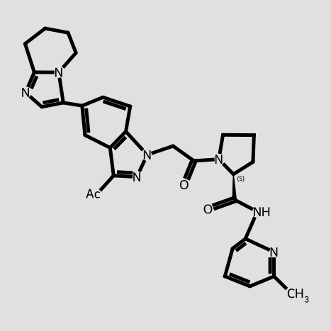 CC(=O)c1nn(CC(=O)N2CCC[C@H]2C(=O)Nc2cccc(C)n2)c2ccc(-c3cnc4n3CCCC4)cc12